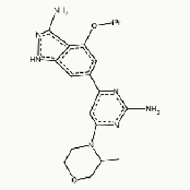 CC(C)Oc1cc(-c2cc(N3CCOCC3C)nc(N)n2)cc2[nH]nc(N)c12